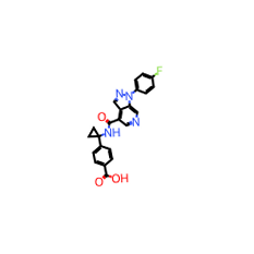 O=C(O)c1ccc(C2(NC(=O)c3cncc4c3cnn4-c3ccc(F)cc3)CC2)cc1